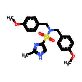 COc1ccc(CN(Cc2ccc(OC)cc2)S(=O)(=O)c2c[nH]c(C)n2)cc1